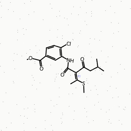 COC(=O)c1ccc(Cl)c(NC(=O)/C(C(=O)CC(C)C)=C(\C)SC)c1